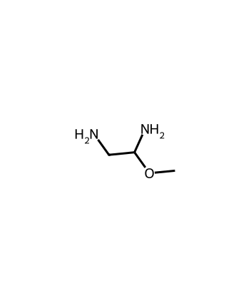 COC(N)CN